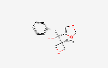 CC1(C(O)(Cc2ccccc2)C2=COCO2)COC1